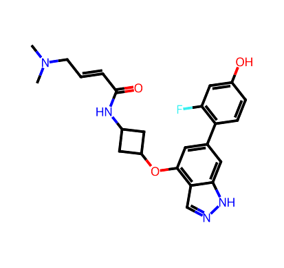 CN(C)C/C=C/C(=O)NC1CC(Oc2cc(-c3ccc(O)cc3F)cc3[nH]ncc23)C1